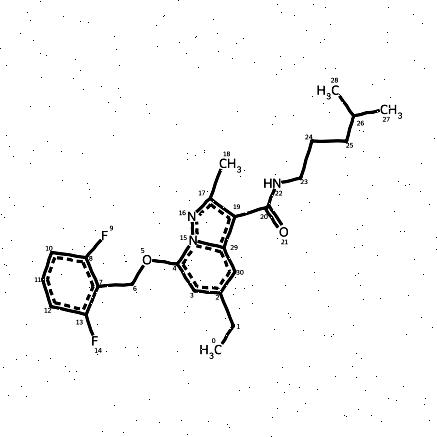 CCc1cc(OCc2c(F)cccc2F)n2nc(C)c(C(=O)NCCCC(C)C)c2c1